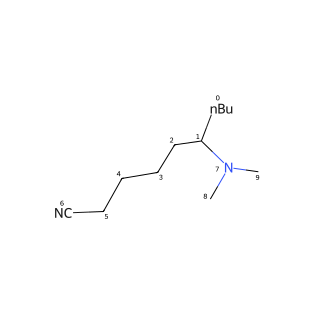 CCCCC(CCCCC#N)N(C)C